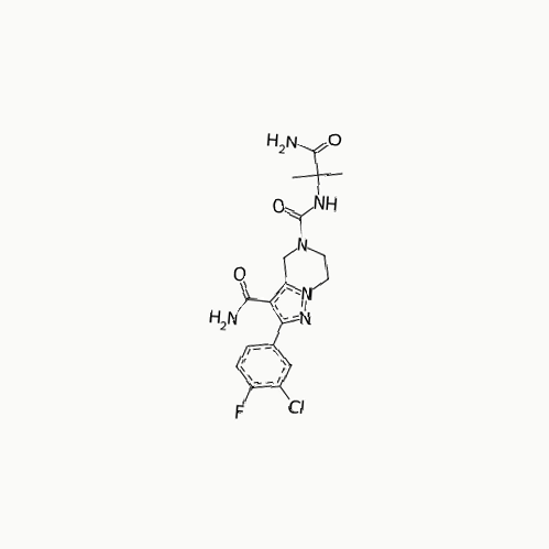 CC(C)(NC(=O)N1CCn2nc(-c3ccc(F)c(Cl)c3)c(C(N)=O)c2C1)C(N)=O